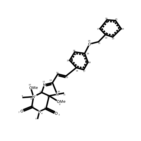 COC12C(=O)N(C)C(=O)[N+](C)(OC)C1N=C(C=Cc1ccc(OCc3ccccc3)cc1)N2C